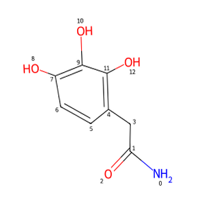 NC(=O)Cc1ccc(O)c(O)c1O